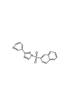 O=S(=O)(c1ccc2ccccc2c1)n1cnc(-c2cccnc2)n1